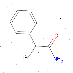 CC(C)C(C(N)=O)c1ccccc1